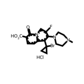 CN1CCN(c2c(F)cn3c(=O)c(C(=O)O)ccc3c2C2(Br)CC2)CC1.Cl